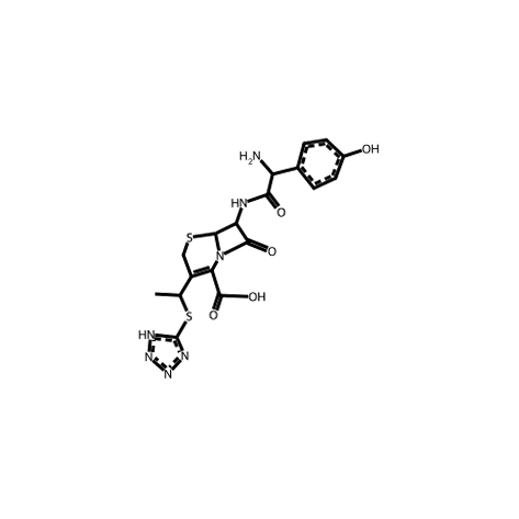 CC(Sc1nnn[nH]1)C1=C(C(=O)O)N2C(=O)C(NC(=O)C(N)c3ccc(O)cc3)C2SC1